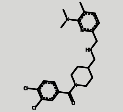 Cc1ccc(CNCC2CCN(C(=O)c3ccc(Cl)c(Cl)c3)CC2)nc1N(C)C